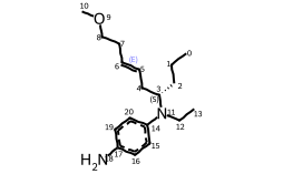 CCC[C@@H](C/C=C/CCOC)N(CC)c1ccc(N)cc1